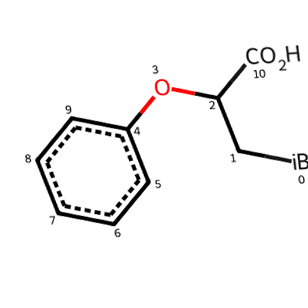 CCC(C)CC(Oc1ccccc1)C(=O)O